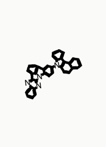 c1ccc2c(c1)ccc1c2c2ccccc2n1-c1ccc2c(c1)c1cccc3c4nc5ccccc5nc4n2c13